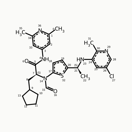 Cc1cc(NC(=O)[C@H](CC2CCCC2)N(C=O)c2ccc([C@H](C)Nc3cc(Cl)cnc3C)s2)cc(C)n1